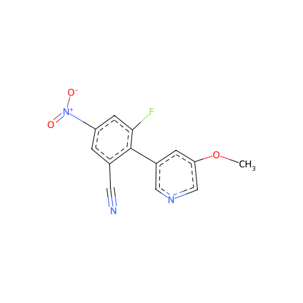 COc1cncc(-c2c(F)cc([N+](=O)[O-])cc2C#N)c1